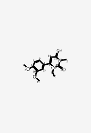 CCn1c(-c2ccc(OC)c(OC)c2)cc(=S)n(C)c1=O